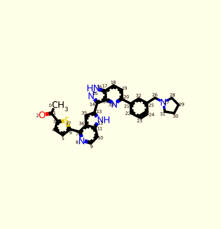 CC(=O)c1ccc(-c2nccc3[nH]c(-c4n[nH]c5ccc(-c6cc#cc(CN7CCCC7)c6)nc45)cc23)s1